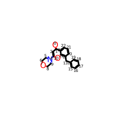 O=c1cc(N2CCOCC2)oc2c(Cc3ccccc3)cccc12